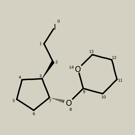 ICC[C@@H]1CCC[C@H]1OC1CCCCO1